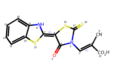 N#C/C(=C\N1C(=O)/C(=C2/Nc3ccccc3S2)SC1=S)C(=O)O